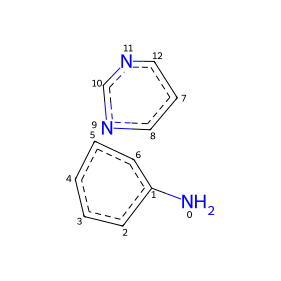 Nc1ccccc1.c1cncnc1